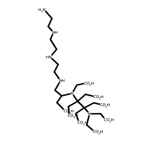 NCCNCCNCCNCC(CC(=O)O)N(CC(=O)O)C(CC(=O)O)(CC(=O)O)C(CC(=O)O)(CC(=O)O)N(CC(=O)O)CC(=O)O